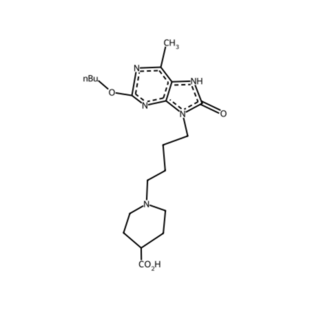 CCCCOc1nc(C)c2[nH]c(=O)n(CCCCN3CCC(C(=O)O)CC3)c2n1